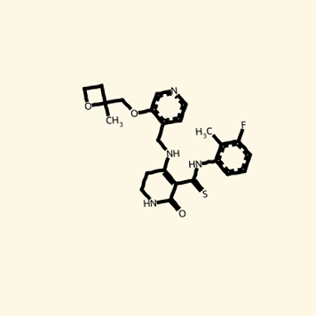 Cc1c(F)cccc1NC(=S)C1=C(NCc2ccncc2OCC2(C)CCO2)CCNC1=O